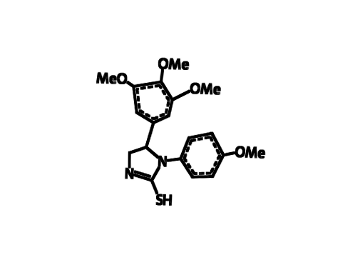 COc1ccc(N2C(S)=NCC2c2cc(OC)c(OC)c(OC)c2)cc1